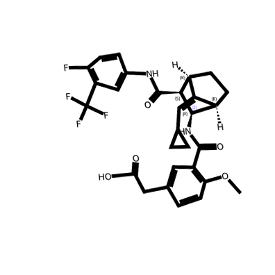 COc1ccc(CC(=O)O)cc1C(=O)N[C@H]1[C@@H](C(=O)Nc2ccc(F)c(C(F)(F)F)c2)[C@H]2CC[C@@H]1/C2=C\C1CC1